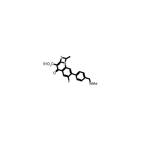 CCOC(=O)c1c2n(c3cc(-c4ccc(CNC)cc4)c(F)cc3c1=O)C(C)S2